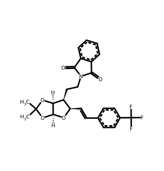 CC1(C)O[C@@H]2O[C@H](/C=C/c3ccc(C(F)(F)F)cc3)[C@H](CCN3C(=O)c4ccccc4C3=O)[C@@H]2O1